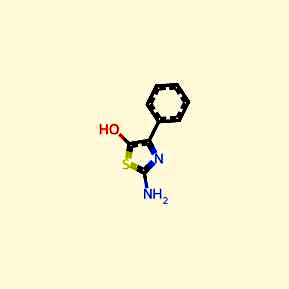 Nc1nc(-c2ccccc2)c(O)s1